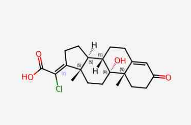 C[C@]12CCC(=O)C=C1CC[C@H]1[C@@H]3CC/C(=C(/Cl)C(=O)O)[C@@]3(C)CC[C@@]12O